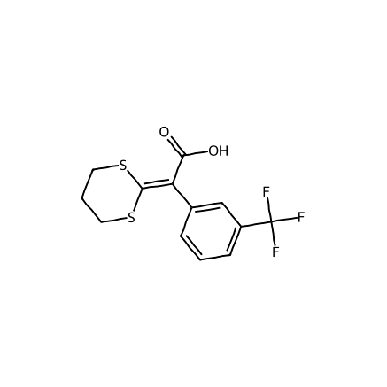 O=C(O)C(=C1SCCCS1)c1cccc(C(F)(F)F)c1